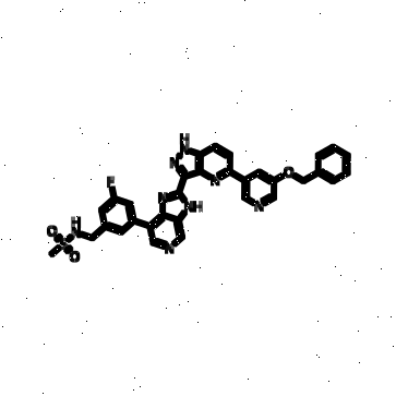 CS(=O)(=O)NCc1cc(F)cc(-c2cncc3[nH]c(-c4n[nH]c5ccc(-c6cncc(OCc7ccccc7)c6)nc45)nc23)c1